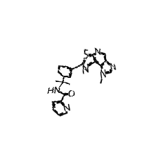 Cn1cnc2cnc3sc(-c4cccc(C(C)(C)NC(=O)c5ccccn5)c4)nc3c21